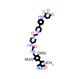 COc1cc(-c2cn(C)c(=O)c3[nH]ncc23)cc(OC)c1CNCC(=O)NC1CCN(C(=O)CN2CCC(c3ccc(NC4CCC(=O)NC4=O)cc3)CC2)CC1